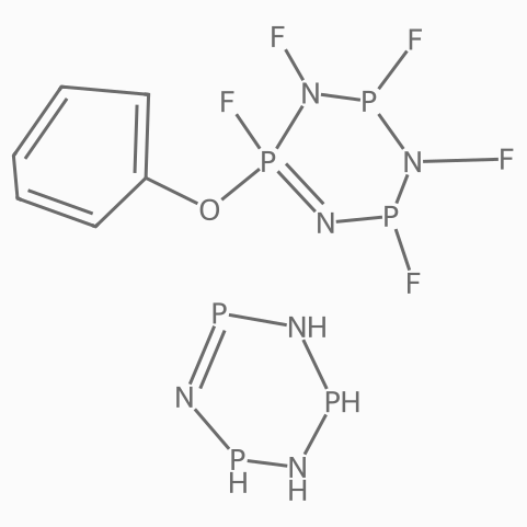 FN1P(F)N=P(F)(Oc2ccccc2)N(F)P1F.n1p[nH][pH][nH][pH]1